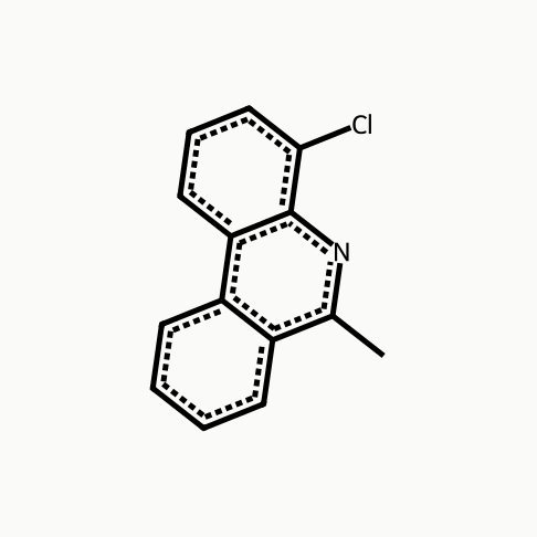 Cc1nc2c(Cl)cccc2c2ccccc12